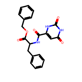 O=C(NC(Cc1ccccc1)C(=O)OCc1ccccc1)c1cc(=O)[nH]c(=O)[nH]1